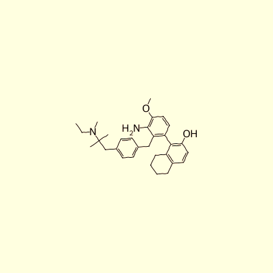 CCN(C)C(C)(C)Cc1ccc(Cc2c(-c3c(O)ccc4c3CCCC4)ccc(OC)c2N)cc1